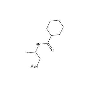 CCC(CNC)NC(=O)C1CCCCC1